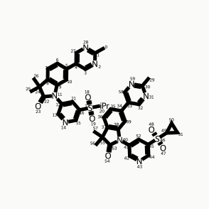 Cc1ncc(-c2ccc3c(c2)N(c2cncc(S(=O)(=O)C(C)C)c2)C(=O)C3(C)C)cn1.Cc1ncc(-c2ccc3c(c2)N(c2cncc(S(=O)(=O)C4CC4)c2)C(=O)C3(C)C)cn1